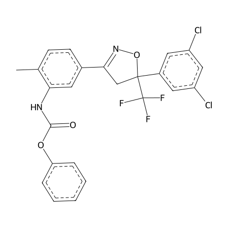 Cc1ccc(C2=NOC(c3cc(Cl)cc(Cl)c3)(C(F)(F)F)C2)cc1NC(=O)Oc1ccccc1